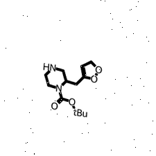 CC(C)(C)OC(=O)N1CCNCC1CC1=CCOO1